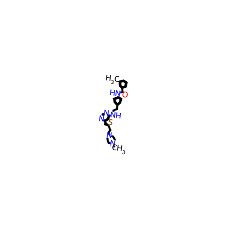 Cc1cccc(C(=O)Nc2ccc(CCNc3ncnc4cc(CCN5CCN(C)CC5)sc34)cc2)c1